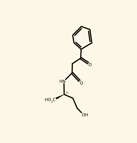 O=C(CC(=O)c1ccccc1)N[C@@H](CCO)C(=O)O